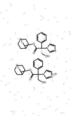 O.O=C(OC1CN2CCC1CC2)C(CO)(c1ccccc1)n1ccnc1.O=C(OC1CN2CCC1CC2)[C@@](CO)(c1ccccc1)n1ccnc1